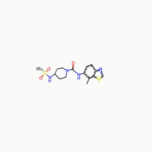 Cc1c(NC(=O)N2CCC(NS(=O)(=O)C(C)(C)C)CC2)ccc2ncsc12